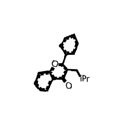 CC(C)Cc1c(-c2ccccc2)oc2ccccc2c1=O